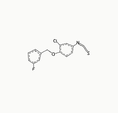 Fc1cccc(COc2ccc(N=C=S)cc2Cl)c1